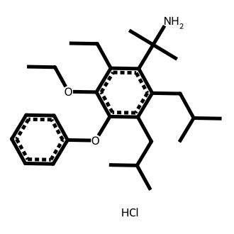 CCOc1c(CC)c(C(C)(C)N)c(CC(C)C)c(CC(C)C)c1Oc1ccccc1.Cl